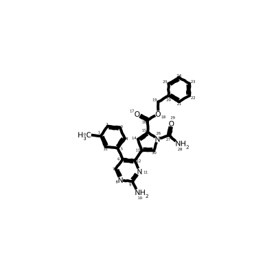 Cc1cccc(-c2cnc(N)nc2-c2cc(C(=O)OCc3ccccc3)n(C(N)=O)c2)c1